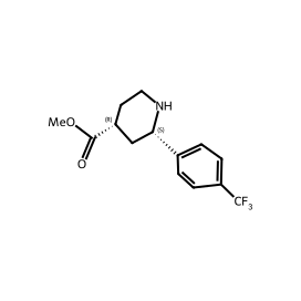 COC(=O)[C@@H]1CCN[C@H](c2ccc(C(F)(F)F)cc2)C1